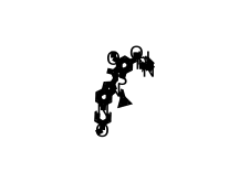 COc1cc(C(=O)N2CC3[C@@H]4C2N34)cc2sc(-c3cc4ccc(N5CCC(OC)CC5)cc4n3CC3CC3)c(C)c12